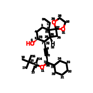 CC[C@]12CC[C@@H](O)[C@H](C#C[C@H](O[Si](C)(C)C(C)(C)C)C3CCCCC3)[C@H]1CC21OCCO1